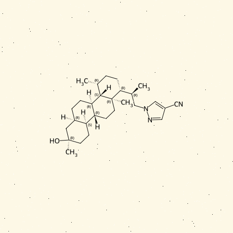 C[C@@H]1CC[C@H]([C@@H](C)Cn2cc(C#N)cn2)[C@@]2(C)CC[C@H]3[C@@H](CC[C@@H]4C[C@](C)(O)CC[C@@H]43)[C@H]12